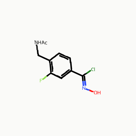 CC(=O)NCc1ccc(C(Cl)=NO)cc1F